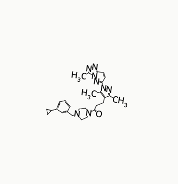 Cc1nn(-c2ccc3nnc(C)n3n2)c(C)c1CCC(=O)N1CCN(Cc2cccc(C3CC3)c2)CC1